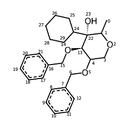 CC1OCC(OCc2ccccc2)[C@@H](OCc2ccccc2)[C@@]1(O)C1CCCCC1